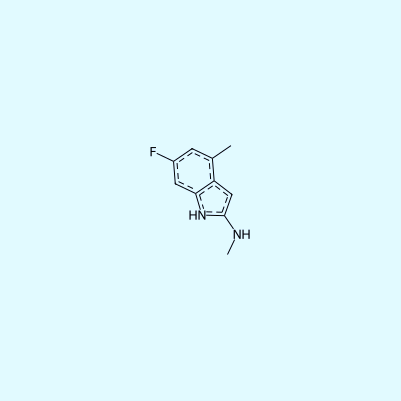 CNc1cc2c(C)cc(F)cc2[nH]1